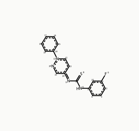 Fc1cccc(NC(=S)N=c2ccn(-c3ccccc3)nc2)c1